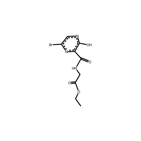 CCOC(=O)CNC(=O)c1nc(Br)cnc1O